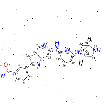 c1cc(-c2nnco2)cc(-c2nc3cc(Nc4cccc(N5C[C@@H]6C[C@H]5CN6)n4)ncc3s2)c1